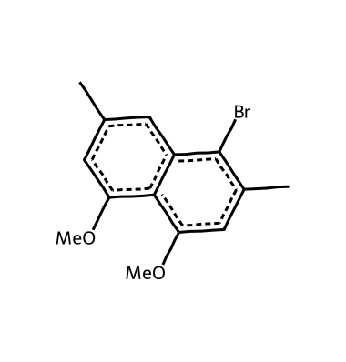 COc1cc(C)cc2c(Br)c(C)cc(OC)c12